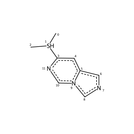 C[SH](C)c1cc2cncn2cn1